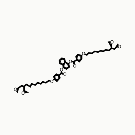 O=C(Oc1ccc(OC(=O)c2ccc(OCCCCCCCCCC(CC3CO3)C3CO3)cc2)c2ccccc12)c1ccc(OCCCCCCCCCC(CC2CO2)C2CO2)cc1